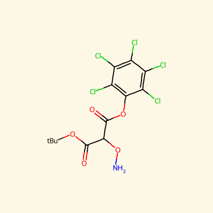 CC(C)(C)OC(=O)C(ON)C(=O)Oc1c(Cl)c(Cl)c(Cl)c(Cl)c1Cl